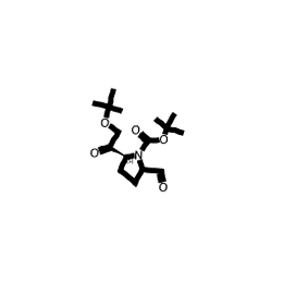 CC(C)(C)OCC(=O)[C@@H]1CCC(C=O)N1C(=O)OC(C)(C)C